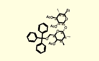 CC[C@H]1O[C@H](O[C@H]2O[C@H](COC(c3ccccc3)(c3ccccc3)c3ccccc3)C(OC(C)=O)[C@H](C)[C@H]2C)[C@H](OC(C)=O)[C@@H](OC(C)=O)[C@@H]1C